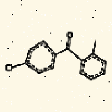 Cc1ccccc1C(=O)c1ccc(Cl)cc1